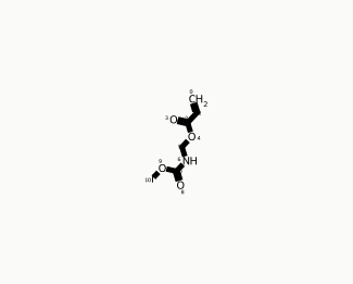 C=CC(=O)OCNC(=O)OI